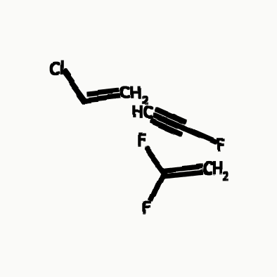 C#CF.C=C(F)F.C=CCl